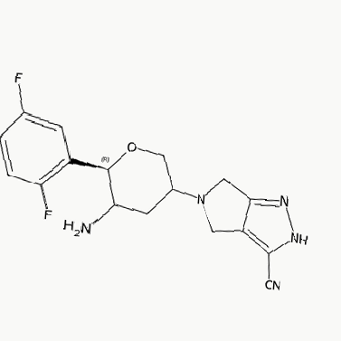 N#Cc1[nH]nc2c1CN(C1CO[C@H](c3cc(F)ccc3F)C(N)C1)C2